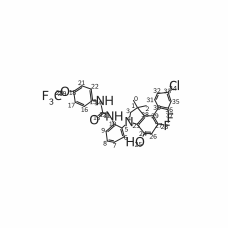 CC1(C)CN(c2ccccc2NC(=O)Nc2ccc(OC(F)(F)F)cc2)c2c(O)cc(F)c(-c3ccc(Cl)cc3F)c21